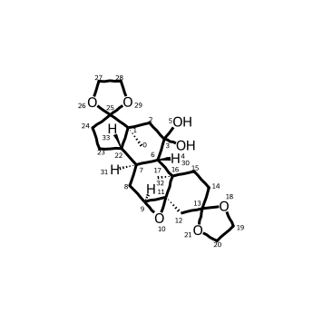 C[C@]12CC(O)(O)[C@H]3[C@@H](C[C@@H]4O[C@@]45CC4(CC[C@]35C)OCCO4)[C@@H]1CCC21OCCO1